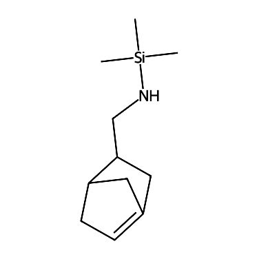 C[Si](C)(C)NCC1CC2=CCC1C2